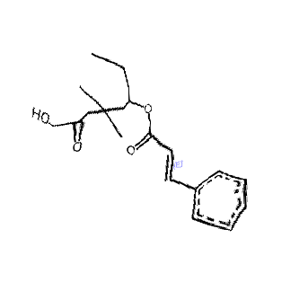 CCC(OC(=O)/C=C/c1ccccc1)C(C)(C)C(=O)O